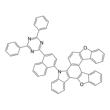 c1ccc(-c2nc(-c3ccccc3)nc(-c3ccc(-n4c5ccccc5c5c6oc7ccccc7c6c6c(ccc7oc8ccccc8c76)c54)c4ccccc34)n2)cc1